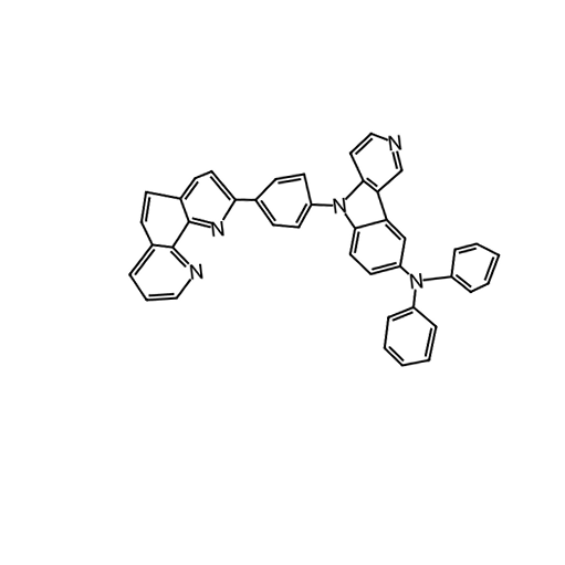 c1ccc(N(c2ccccc2)c2ccc3c(c2)c2cnccc2n3-c2ccc(-c3ccc4ccc5cccnc5c4n3)cc2)cc1